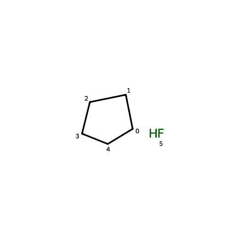 C1CCCC1.F